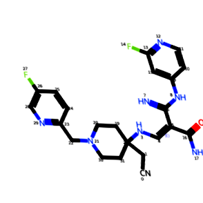 N#CCC1(N/C=C(\C(=N)Nc2ccnc(F)c2)C(N)=O)CCN(Cc2ccc(F)cn2)CC1